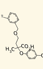 CC(CCOCc1cccc(F)c1)(Oc1ccc(O)cc1)C(=O)O